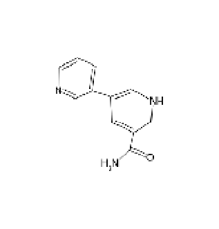 NC(=O)C1=CC(c2cccnc2)=CNC1